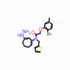 Cc1ccc(C(C)C)c(OCC(=O)N(Cc2cccs2)C2=CCCCC(NN)=C2)c1